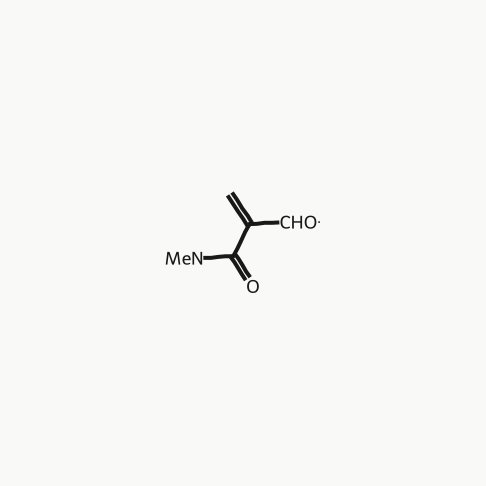 C=C([C]=O)C(=O)NC